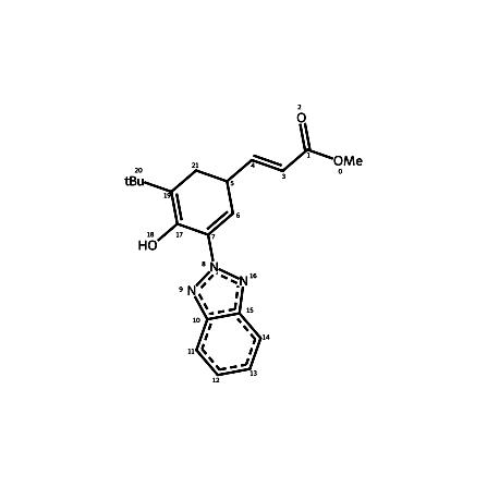 COC(=O)C=CC1C=C(n2nc3ccccc3n2)C(O)=C(C(C)(C)C)C1